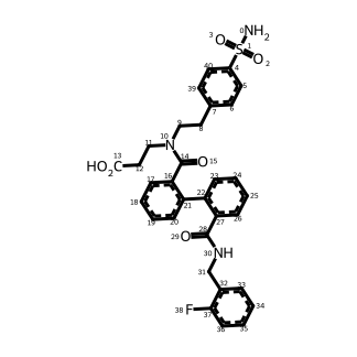 NS(=O)(=O)c1ccc(CCN(CCC(=O)O)C(=O)c2ccccc2-c2ccccc2C(=O)NCc2ccccc2F)cc1